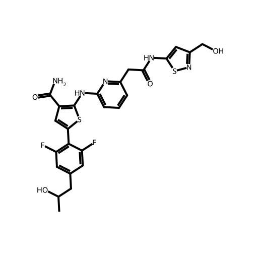 CC(O)Cc1cc(F)c(-c2cc(C(N)=O)c(Nc3cccc(CC(=O)Nc4cc(CO)ns4)n3)s2)c(F)c1